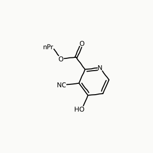 CCCOC(=O)c1nccc(O)c1C#N